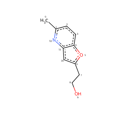 Cc1ccc2oc(CCO)cc2n1